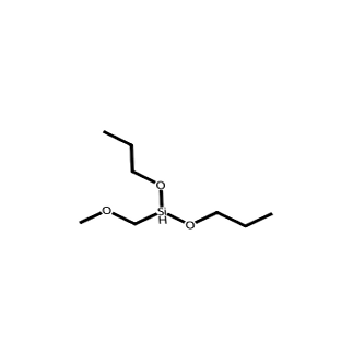 CCCO[SiH](COC)OCCC